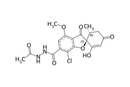 COc1cc(C(=O)NNC(C)=O)c(Cl)c2c1C(=O)[C@@]1(O2)C(O)=CC(=O)C[C@H]1C